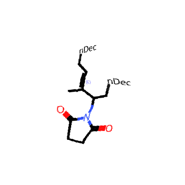 CCCCCCCCCCC/C=C(\C)C(CCCCCCCCCCC)N1C(=O)CCC1=O